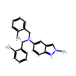 Cn1cc2cc(N(Cc3ccccc3[N+](=O)[O-])Cc3ccccc3[N+](=O)[O-])ccc2n1